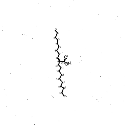 CCCCCCCCC=C(CCCCCCCCCC)C(=O)O